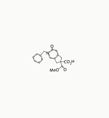 COC(=O)C1(C(=O)O)Cc2cc(=O)n(Cc3ccccc3)cc2C1